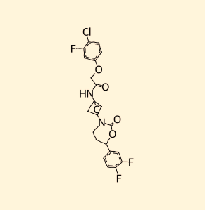 O=C(COc1ccc(Cl)c(F)c1)NC12CC(N3CCC(c4ccc(F)c(F)c4)OC3=O)(C1)C2